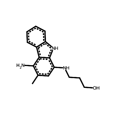 Cc1cc(NCCCO)c2[nH]c3ccccc3c2c1N